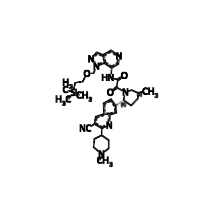 C[C@H]1CC[C@H](c2ccc3cc(C#N)c(C4CCN(C)CC4)nc3c2)N(C(=O)C(=O)Nc2cncc3cnn(COCC[Si](C)(C)C)c23)C1